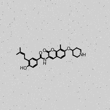 CC(C)=CCc1cc(C(=O)Nc2cc3ccc(OC4CCNCC4)c(C)c3oc2=O)ccc1O